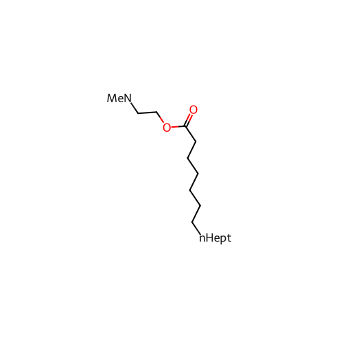 CCCCCCCCCCCCCC(=O)OCCNC